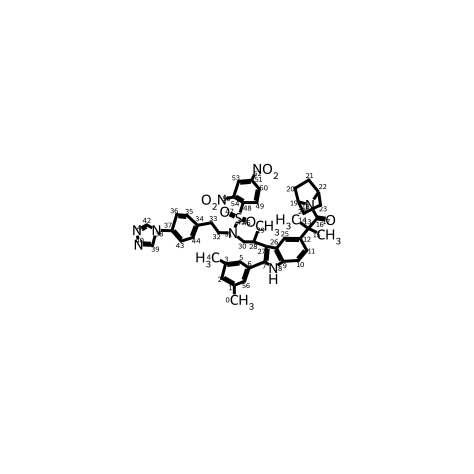 Cc1cc(C)cc(-c2[nH]c3ccc(C(C)(C)C(=O)N4C5CCC4CC5)cc3c2C(C)CN(CCc2ccc(-n3cnnc3)cc2)S(=O)(=O)c2ccc([N+](=O)[O-])cc2[N+](=O)[O-])c1